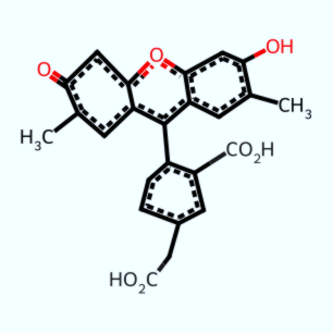 Cc1cc2c(-c3ccc(CC(=O)O)cc3C(=O)O)c3cc(C)c(=O)cc-3oc2cc1O